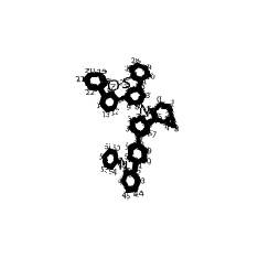 C1=CC2CC2c2c1n(-c1cc(-c3cccc4c3oc3ccccc34)c3sc4ccccc4c3c1)c1ccc(-c3ccc4c5ccccc5n(-c5ccccc5)c4c3)cc21